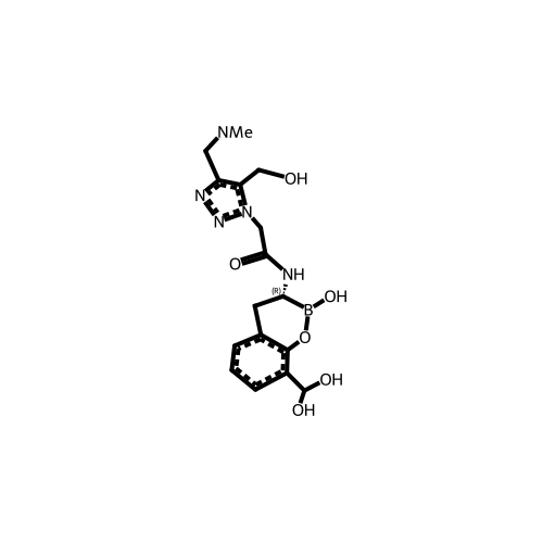 CNCc1nnn(CC(=O)N[C@H]2Cc3cccc(C(O)O)c3OB2O)c1CO